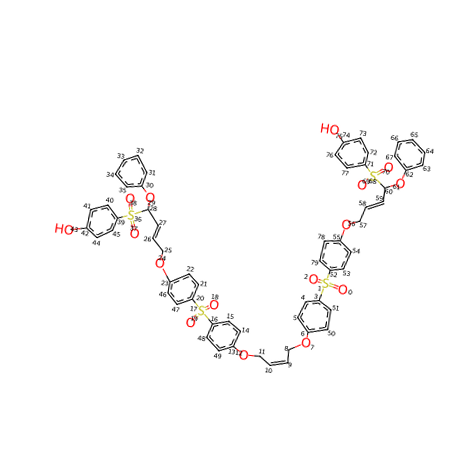 O=S(=O)(c1ccc(OC/C=C\COc2ccc(S(=O)(=O)c3ccc(OC/C=C/C(Oc4ccccc4)S(=O)(=O)c4ccc(O)cc4)cc3)cc2)cc1)c1ccc(OC/C=C/C(Oc2ccccc2)S(=O)(=O)c2ccc(O)cc2)cc1